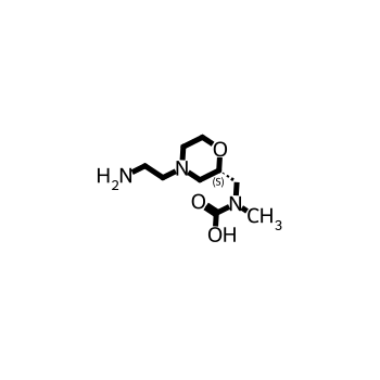 CN(C[C@@H]1CN(CCN)CCO1)C(=O)O